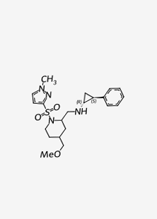 COCC1CCN(S(=O)(=O)c2ccn(C)n2)C(CN[C@@H]2C[C@H]2c2ccccc2)C1